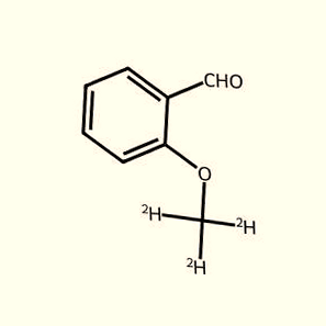 [2H]C([2H])([2H])Oc1ccccc1C=O